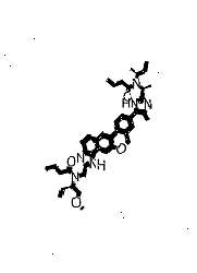 CCCC(=O)N(Cc1nc2ccc3cc4c(cc3c2[nH]1)OCc1cc(-c2[nH]c([C@H](C)N(C(=O)CCC)[C@@H](C)CC)nc2C)ccc1-4)[C@H](CC)COC